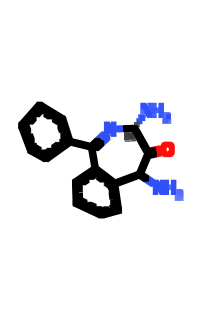 NC1C(=O)[C@@H](N)N=C(c2ccccc2)c2ccccc21